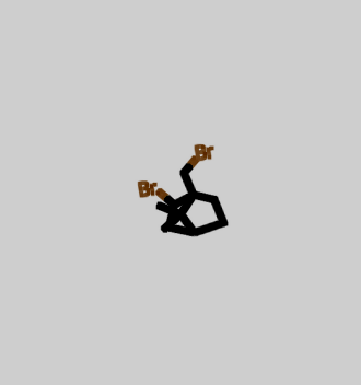 CC1(C)C2CCC1(CBr)C(Br)C2